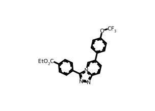 CCOC(=O)c1ccc(-c2nnc3ccc(-c4ccc(OC(F)(F)F)cc4)cn23)cc1